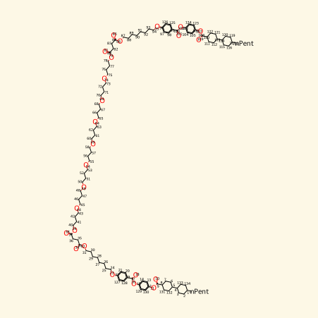 CCCCCC1CCC(C2CCC(C(=O)Oc3ccc(OC(=O)c4ccc(OCCCCCCCCOC(=O)CCC(=O)OCCCCOCCCCOCCCCOCCCCOCCCCOCCCCOCCCCOCCCCOC(=O)CCC(=O)OCCCCCCCCOc5ccc(C(=O)Oc6ccc(OC(=O)C7CCC(C8CCC(CCCCC)CC8)CC7)cc6)cc5)cc4)cc3)CC2)CC1